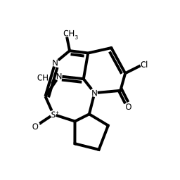 C.Cc1nc2nc3c1cc(Cl)c(=O)n3C1CCCC1[S+]2[O-]